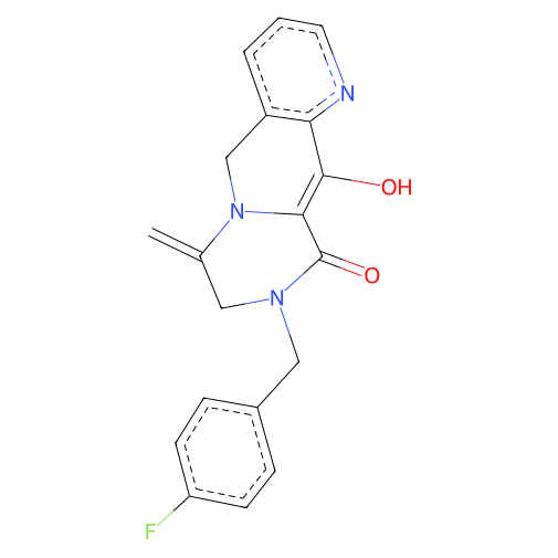 C=C1CN(Cc2ccc(F)cc2)C(=O)C2=C(O)c3ncccc3CN12